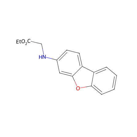 CCOC(=O)CNc1ccc2c(c1)oc1ccccc12